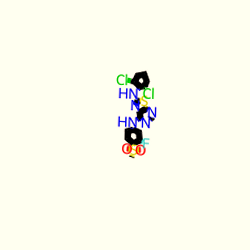 CS(=O)(=O)c1ccc(Nc2ncnc3sc(Nc4c(Cl)cccc4Cl)nc23)cc1F